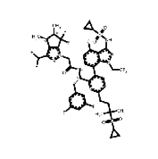 C[C@@H]1c2c(C(F)F)nn(CC(=O)N[C@@H](Cc3cc(F)cc(F)c3)c3nc(CCC(C)(C)S(=O)(=O)C4CC4)ccc3-c3ccc(Cl)c4c(NS(=O)(=O)C5CC5)nn(CC(F)(F)F)c34)c2C(F)(F)[C@@H]1C